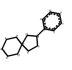 c1ccc(C2CCC3(CCCCC3)C2)cc1